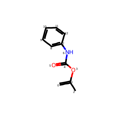 C=C(C)OC(=O)Nc1ccccc1